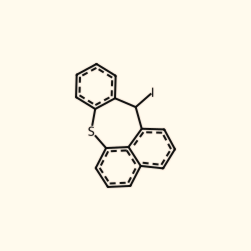 IC1c2ccccc2Sc2cccc3cccc1c23